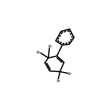 BrC1(Br)C=CC(Br)(Br)C(c2ccccc2)=C1